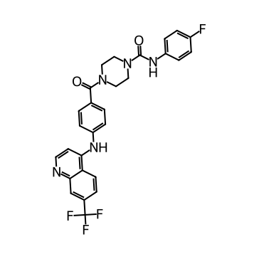 O=C(Nc1ccc(F)cc1)N1CCN(C(=O)c2ccc(Nc3ccnc4cc(C(F)(F)F)ccc34)cc2)CC1